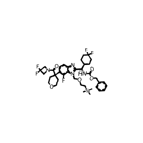 C[Si](C)(C)CCOCn1c([C@@H](NC(=O)OCc2ccccc2)C2CCC(F)(F)CC2)nc2ccc(C3(C(=O)N4CC(F)(F)C4)CCOCC3)c(F)c21